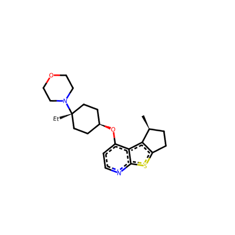 CC[C@]1(N2CCOCC2)CC[C@H](Oc2ccnc3sc4c(c23)[C@@H](C)CC4)CC1